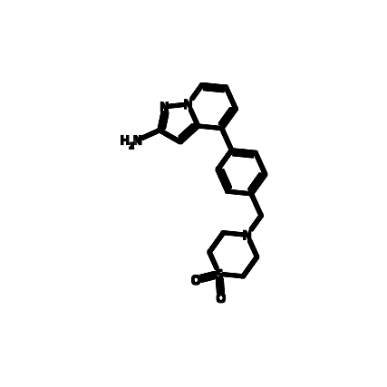 Nc1cc2c(-c3ccc(CN4CCS(=O)(=O)CC4)cc3)cccn2n1